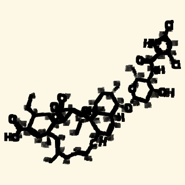 CC[C@H]1C[C@]23OC(=O)/C(=C(\O)[C@@]4(CC)[C@@H]5CC[C@H](C)[C@H](O[C@H]6C[C@H](O)[C@H](NC(=O)c7[nH]c(Cl)cc7Cl)[C@@H](C)O6)[C@H]5C=C[C@H]4C/C=C/C/C(C)=C/[C@@]2(C)C=C1C(=O)O)C3=O